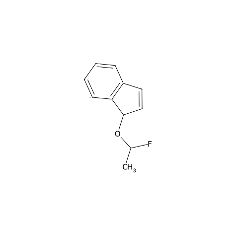 CC(F)OC1C=Cc2ccc[c]c21